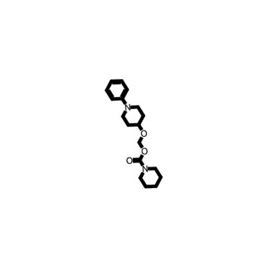 O=C(OCOC1CCN(c2ccccc2)CC1)N1CCCCC1